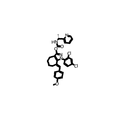 COc1ccc(/C=C2\CCCCc3c(OC(=O)N[C@H](C)c4ccccn4)nn(-c4ccc(Cl)cc4Cl)c32)cc1